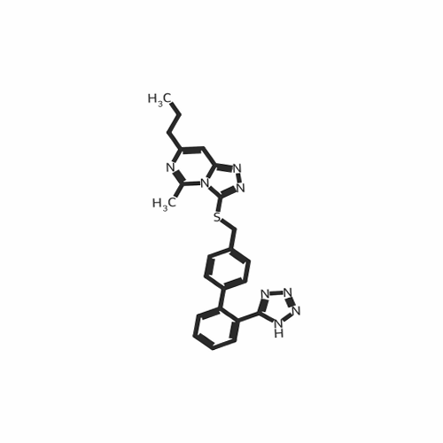 CCCc1cc2nnc(SCc3ccc(-c4ccccc4-c4nnn[nH]4)cc3)n2c(C)n1